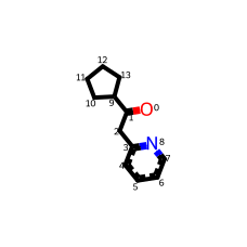 O=C(Cc1ccccn1)C1CCCC1